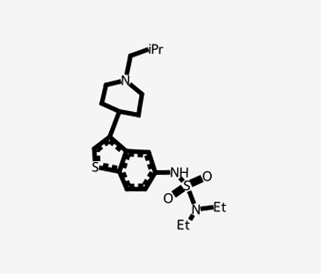 CCN(CC)S(=O)(=O)Nc1ccc2scc(C3CCN(CC(C)C)CC3)c2c1